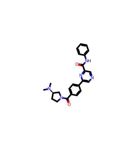 CN(C)[C@@H]1CCN(C(=O)c2ccc(-c3cncc(C(=O)Nc4ccccc4)n3)cc2)C1